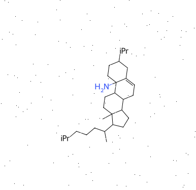 CC(C)CCCC(C)C1CCC2C3CC=C4CC(C(C)C)CCC4(N)C3CCC12C